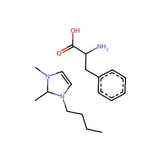 CCCCN1C=CN(C)C1C.NC(Cc1ccccc1)C(=O)O